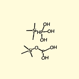 C[Si](C)(C)OP(O)O.C[Si](C)(C)[PH](O)(O)O